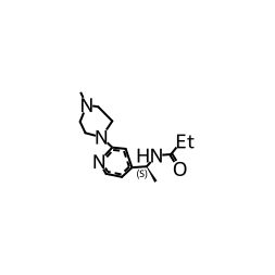 CCC(=O)N[C@@H](C)c1ccnc(N2CCN(C)CC2)c1